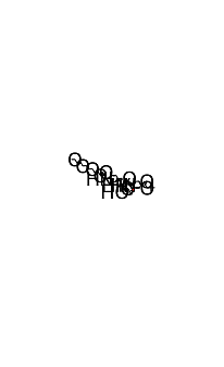 COCCOCCOCCOC(=O)Nc1ccc(C[C@H](NC(O)OC(C)(C)C)C(=O)Nc2ccc(C(=O)OC(C)(C)C)cc2)cc1